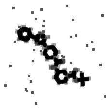 CC(C)(C)OC(=O)N1CCCC(NC(=O)N2CCN(c3nc(-c4ccccc4)ns3)CC2)C1